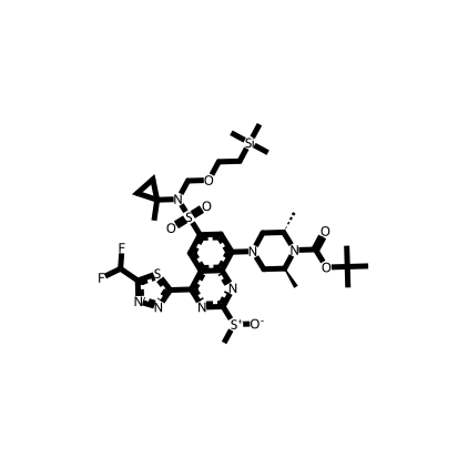 C[C@H]1CN(c2cc(S(=O)(=O)N(COCC[Si](C)(C)C)C3(C)CC3)cc3c(-c4nnc(C(F)F)s4)nc([S+](C)[O-])nc23)C[C@H](C)N1C(=O)OC(C)(C)C